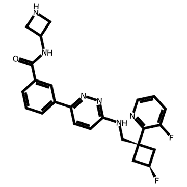 O=C(NC1CNC1)c1cccc(-c2ccc(NC[C@]3(c4ncccc4F)C[C@H](F)C3)nn2)c1